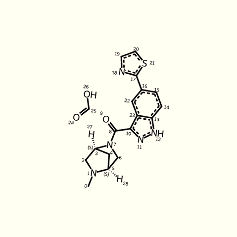 CN1C[C@@H]2C[C@H]1CN2C(=O)c1n[nH]c2ccc(-c3nccs3)cc12.O=CO